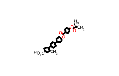 C=C(C)C(=O)Oc1ccc(C(=O)Oc2ccc(-c3ccc(-c4ccc(C(=O)O)cc4C)cc3)cc2)cc1